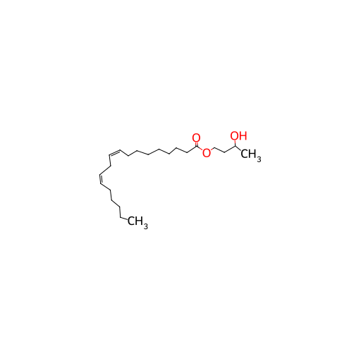 CCCCC/C=C\C/C=C\CCCCCCCC(=O)OCCC(C)O